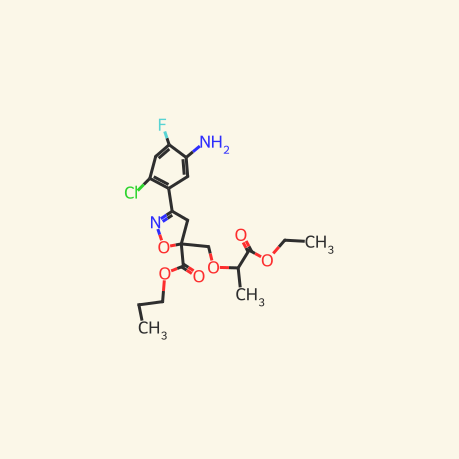 CCCOC(=O)C1(COC(C)C(=O)OCC)CC(c2cc(N)c(F)cc2Cl)=NO1